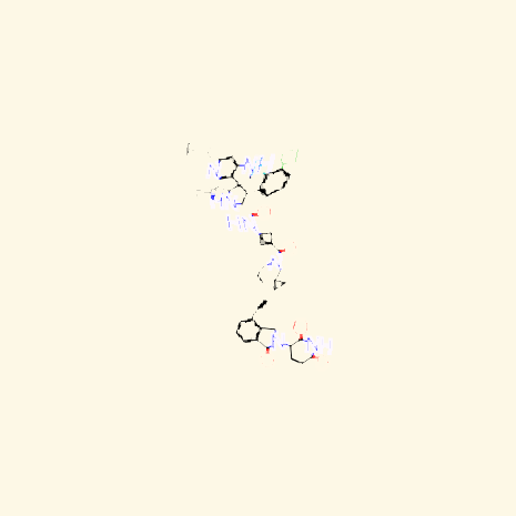 CC(C)(C)C[C@@H]1N[C@@H](C(=O)NC23CC(C(=O)N4CCC[C@]5(C[C@@H]5C#Cc5cccc6c5CN(C5CCC(=O)NC5=O)C6=O)C4)(C2)C3)[C@H](c2cccc(Cl)c2F)[C@]12CNc1cc(C(F)(F)F)ncc12